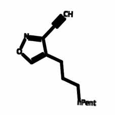 C#Cc1nocc1CCCCCCCC